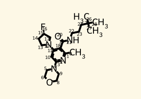 Cc1nc(N2CCOCC2)cc(N2CC[C@@H](F)C2)c1C(=O)NCCCC(C)(C)C